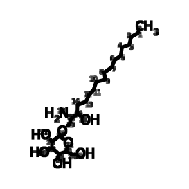 CCCCCCCCCCCCCCC[C@@H](O)[C@@H](N)COC1OC(CO)C(O)C(O)C1O